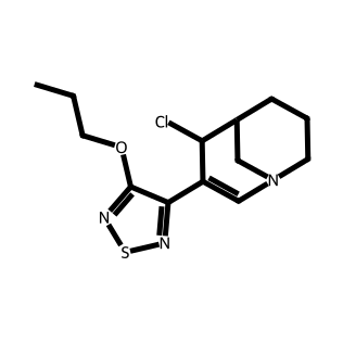 CCCOc1nsnc1C1=CN2CCCC(C2)C1Cl